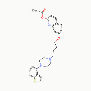 CCCCCCCCCCC(=O)Oc1ccc2ccc(OCCCCN3CCN(c4cccc5sccc45)CC3)cc2n1